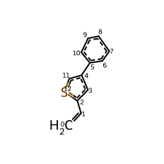 C=Cc1cc(-c2ccccc2)cs1